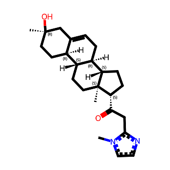 Cn1ccnc1CC(=O)[C@H]1CC[C@H]2[C@@H]3CC=C4C[C@](C)(O)CC[C@@H]4[C@H]3CC[C@]12C